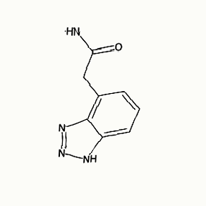 [NH]C(=O)Cc1cccc2[nH]nnc12